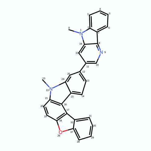 Cn1c2ccccc2c2ncc(-c3ccc4c5c6c(ccc5n(C)c4c3)oc3ccccc36)cc21